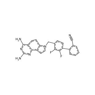 N#Cc1ccccc1-c1ccc(Cn2ccc3c4nc(N)nc(N)c4ccc32)c(F)c1F